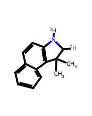 [2H]C1N([2H])c2ccc3ccccc3c2C1(C)C